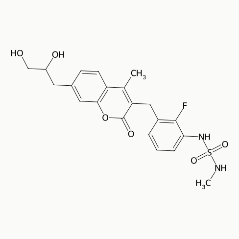 CNS(=O)(=O)Nc1cccc(Cc2c(C)c3ccc(CC(O)CO)cc3oc2=O)c1F